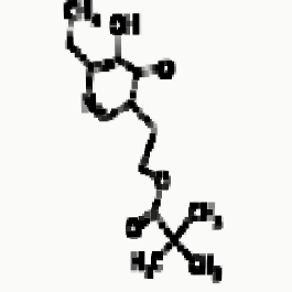 CCC1=C(O)C(=O)C(CCOC(=O)C(C)(C)C)C=N1